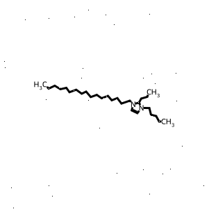 CCCCCCCCCCCCCCCCCN1C=CN(CCCCC)C1CCC